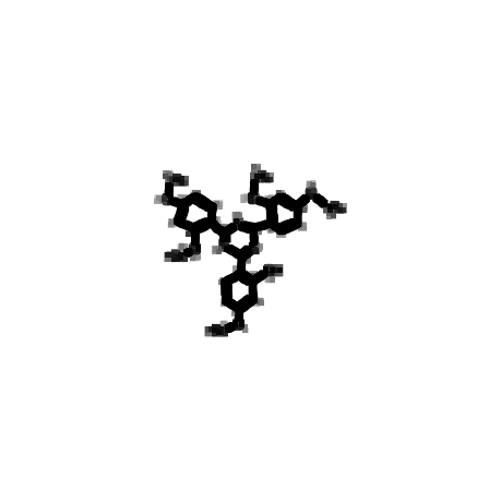 CCCCOc1ccc(-c2nc(-c3ccc(OCCCC)cc3OCCCC)nc(-c3ccc(OCCCC)cc3OCCCC)n2)c(O)c1